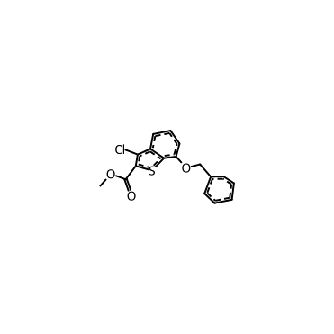 COC(=O)c1sc2c(OCc3ccccc3)cccc2c1Cl